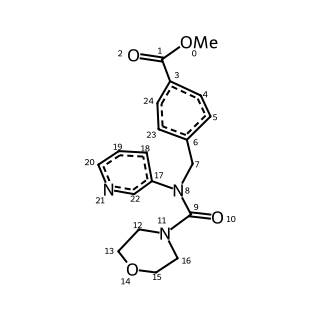 COC(=O)c1ccc(CN(C(=O)N2CCOCC2)c2cccnc2)cc1